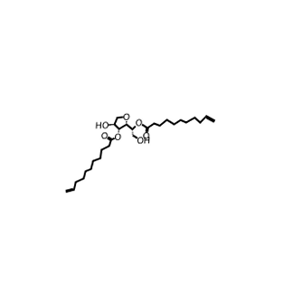 C=CCCCCCCCCC(=O)O[C@H]1[C@@H]([C@@H](CO)OC(=O)CCCCCCCCC=C)OC[C@@H]1O